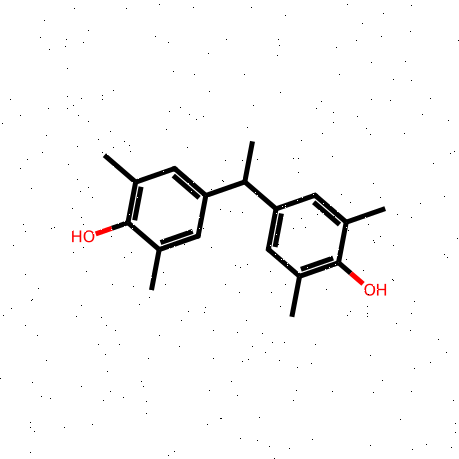 Cc1cc(C(C)c2cc(C)c(O)c(C)c2)cc(C)c1O